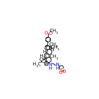 C=C(C)[C@@H]1CC[C@]2(NCCNC3CCS(=O)(=O)C3)CC[C@]3(C)[C@H](CC[C@@H]4[C@@]5(C)CC=C(c6ccc(C(=O)OC)cc6)C(C)(C)[C@@H]5CC[C@]43C)[C@@H]12